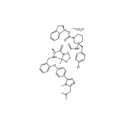 C[C@H](NCc1ccccc1Oc1ccc(-c2cnc(CN(C)C)n2C)cc1)C(=O)N1[C@H](C(=O)N[C@@]2(Cc3ccc(Cl)cc3)CCCN(C(=O)[C@@H](CC(=O)O)[C@@H]3CCc4ccccc43)C2)COC1(C)C